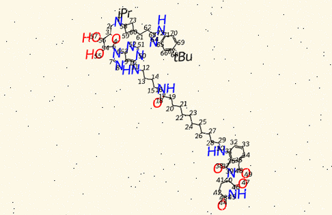 CC(C)N(C[C@H]1O[C@@H](n2cnc3c(NCCCCNC(=O)CCCCCCCCCCCNc4cccc5c4C(=O)N(C4CCC(=O)NC4=O)C5=O)ncnc32)C(O)C1O)C1CC(CCc2nc3cc(C(C)(C)C)ccc3[nH]2)C1